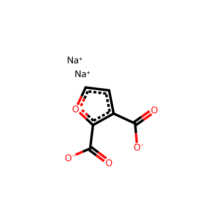 O=C([O-])c1ccoc1C(=O)[O-].[Na+].[Na+]